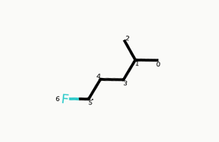 CC(C)CC[CH]F